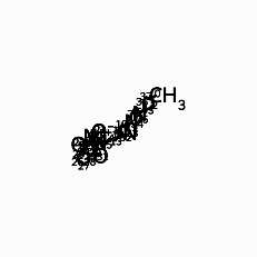 Cc1ccc(N2CCN(c3ccc(CCCn4c5c(n[n+]4[O-])C(=O)c4ccccc4C5=O)cn3)CC2)cc1